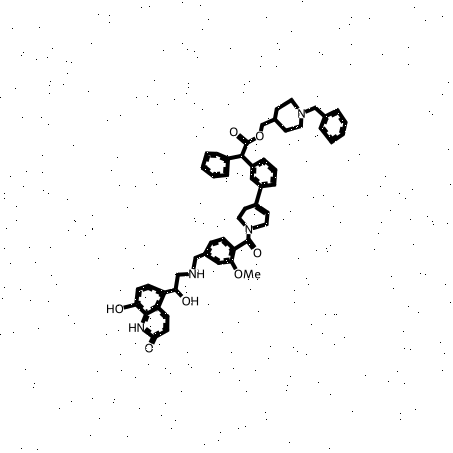 COc1cc(CNCC(O)c2ccc(O)c3[nH]c(=O)ccc23)ccc1C(=O)N1CC=C(c2cccc(C(C(=O)OCC3CCN(Cc4ccccc4)CC3)c3ccccc3)c2)CC1